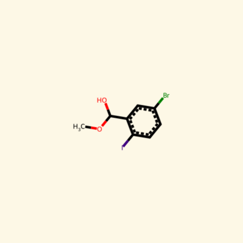 COC(O)c1cc(Br)ccc1I